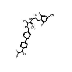 CC(C)C(N[C@@H](c1ccc(-c2ccc([C@@H](O)C(F)F)cc2)cc1)C(F)(F)F)C(=O)N[C@H](C#N)Cc1c(F)cc(C#N)cc1F